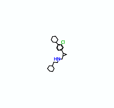 Clc1cc(C2CC2CNCCC2CCCCC2)ccc1C1CCCCC1